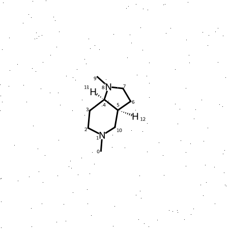 CN1CC[C@@H]2[C@@H](CCN2C)C1